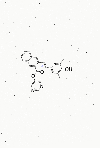 Cc1cc(/C=C/c2cc3ccccc3cc2C(=O)Oc2cncnc2)cc(C)c1O